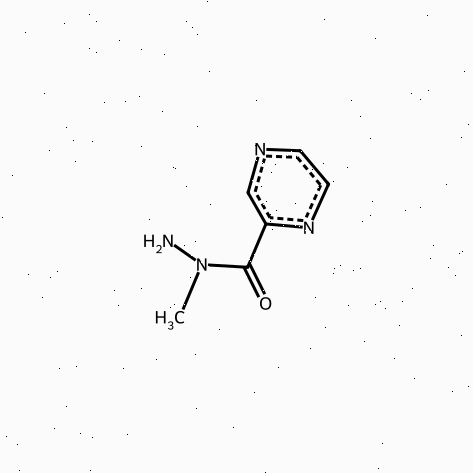 CN(N)C(=O)c1cnccn1